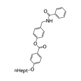 CCCCCCCOc1ccc(C(=O)Oc2ccc(CNC(=O)c3ccccc3)cc2)cc1